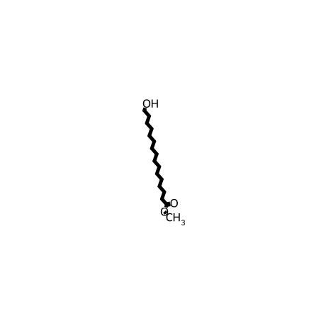 COC(=O)CCCCCCCCCCCCCCCO